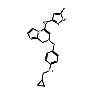 Cc1cc(NC2=CN(Sc3ccc(NCC4CC4)cc3)CC3=NC=C[N+]23)n[nH]1